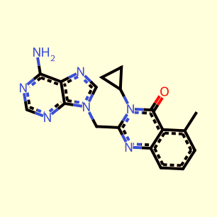 Cc1cccc2nc(Cn3cnc4c(N)ncnc43)n(C3CC3)c(=O)c12